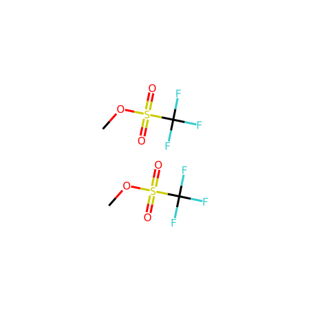 COS(=O)(=O)C(F)(F)F.COS(=O)(=O)C(F)(F)F